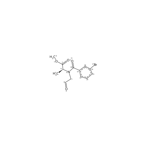 COC(=O)[C@H](C)N(CC=O)C(=O)c1cccc(Br)c1